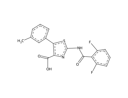 Cc1cccc(-c2sc(NC(=O)c3c(F)cccc3F)nc2C(=O)O)c1